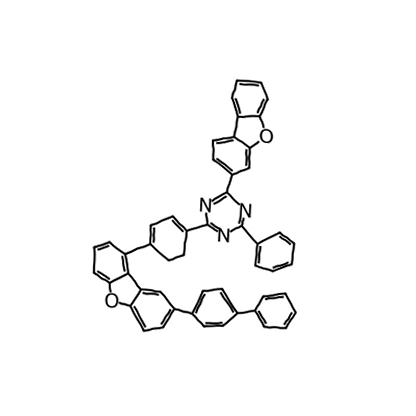 C1=C(c2nc(-c3ccccc3)nc(-c3ccc4c(c3)oc3ccccc34)n2)CCC(c2cccc3oc4ccc(-c5ccc(-c6ccccc6)cc5)cc4c23)=C1